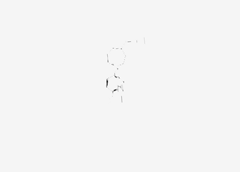 Cc1ccc(N2CCCC(CO)CC2)nn1